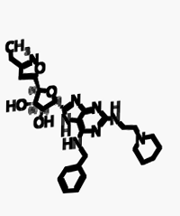 CCc1cc([C@H]2O[C@H](c3nc4nc(NCCN5CCCCC5)nc(NCc5ccccc5)c4[nH]3)[C@H](O)[C@@H]2O)on1